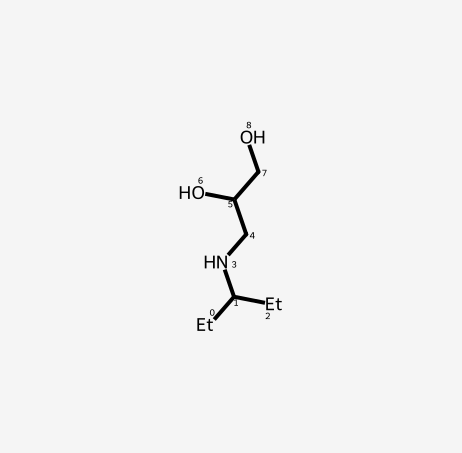 CCC(CC)NCC(O)CO